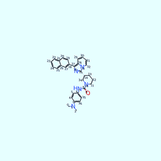 CN(C)c1ccc(NC(=O)N2CCC[C@@H](c3nc(-c4ccc5ccccc5c4)c4ccccn34)C2)cc1